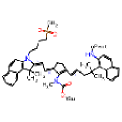 BS(=O)(=O)CCCCN1/C(=C/C=C2\CCC(/C=C/CC(C)(C)c3c(NCCCCC)ccc4ccccc34)=C2N(C)C(=O)OC(C)(C)C)C(C)(C)c2c1ccc1ccccc21